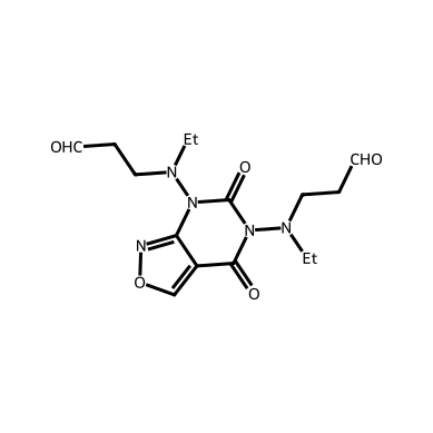 CCN(CCC=O)n1c(=O)c2conc2n(N(CC)CCC=O)c1=O